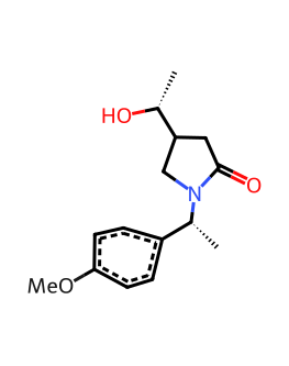 COc1ccc([C@@H](C)N2CC([C@@H](C)O)CC2=O)cc1